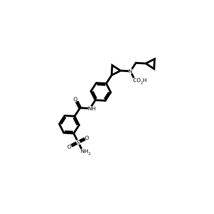 NS(=O)(=O)c1cccc(C(=O)Nc2ccc(C3CC3N(CC3CC3)C(=O)O)cc2)c1